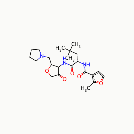 Cc1occc1C(=O)N[C@@H](CC(C)(C)C)C(=O)NC1C(=O)COC1CN1CCCC1